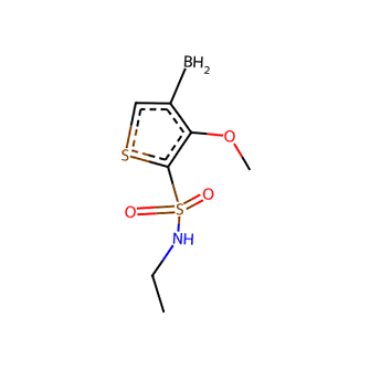 Bc1csc(S(=O)(=O)NCC)c1OC